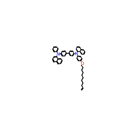 C=CCCCCCCCCCOc1ccc(N(c2ccc(-c3ccc(N(c4ccccc4)c4cccc5ccccc45)cc3)cc2)c2cccc3ccccc23)cc1